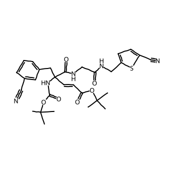 CC(C)(C)OC(=O)C=CC(Cc1cccc(C#N)c1)(NC(=O)OC(C)(C)C)C(=O)NCC(=O)NCc1ccc(C#N)s1